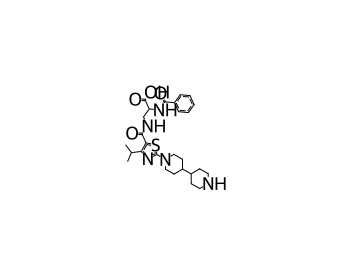 CC(C)c1nc(N2CCC(C3CCNCC3)CC2)sc1C(=O)NCC(NC(=O)c1ccccc1)C(=O)O